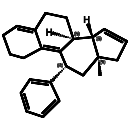 C[C@@]12CC=C[C@H]1[C@@H]1CCC3=CCCCC3=C1[C@@H](c1ccccc1)C2